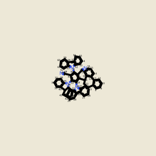 N#Cc1c(C2CCc3ccccc3-c3ccccc32)c(-n2c3ccccc3c3ccccc32)c(N2c3ccccc3C3C=CC=CC32)c(C#N)c1-n1c2ccccc2c2ccccc21